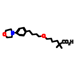 CC(C)(CCCCOCCCCc1ccc(N2CCOCC2)cc1)C(=O)O